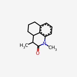 CC1C(=O)N(C)c2cccc3c2C1CCC3